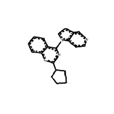 c1ccc2c(-n3ccc4cnccc43)nc(C3CCCC3)nc2c1